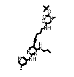 CCCNc1nc(Nc2cncc(F)c2)ncc1C#CCCCNC(=O)CN(C)C(=O)OC(C)(C)C